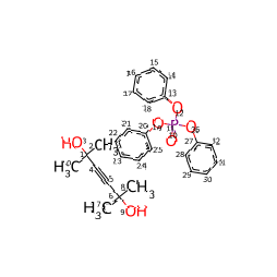 CC(C)(O)C#CC(C)(C)O.O=P(Oc1ccccc1)(Oc1ccccc1)Oc1ccccc1